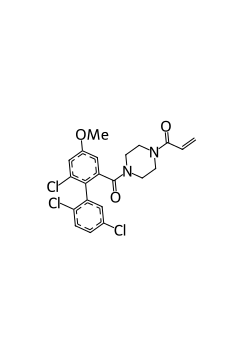 C=CC(=O)N1CCN(C(=O)c2cc(OC)cc(Cl)c2-c2cc(Cl)ccc2Cl)CC1